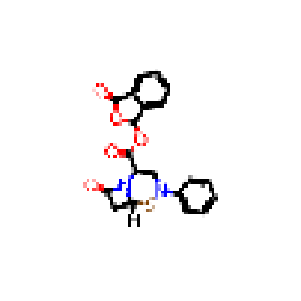 O=C1OC(OC(=O)C2CN(c3ccccc3)S[C@@H]3CC(=O)N23)c2ccccc21